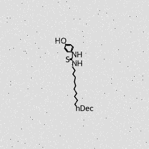 CCCCCCCCCCCCCCCCCCCCCNC(=S)Nc1ccc(O)cc1